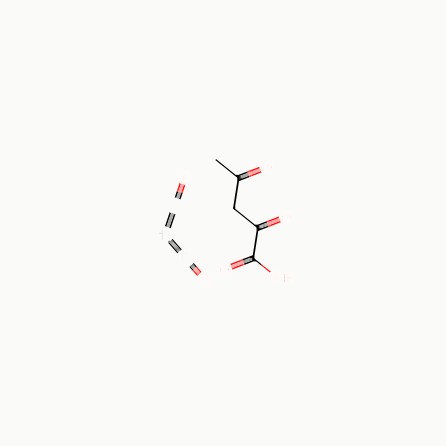 CC(=O)CC(=O)C(=O)O.O=[C]=[Rh]=[C]=O